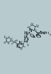 Cc1ccc(C(C)(C)c2nccc(-c3sc(NC(=O)N4CCC[C@H]4C(N)=O)nc3C)n2)cc1